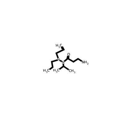 C=CCN(CCC)N(C(=O)CCN)C(C)C